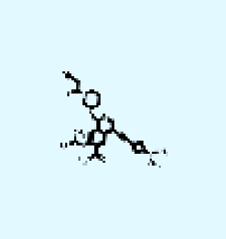 CC(C)Oc1cc2c(O[C@@H]3CCCN(C(=O)CC#N)C3)ncc(C#CC3CC(N(C)C)C3)c2cc1C(N)=O